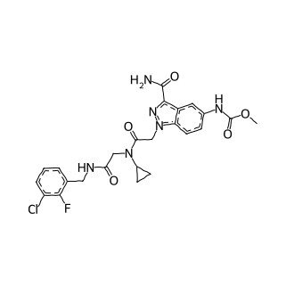 COC(=O)Nc1ccc2c(c1)c(C(N)=O)nn2CC(=O)N(CC(=O)NCc1cccc(Cl)c1F)C1CC1